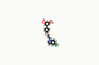 COc1cc(OC)cc(-c2ccc(OCCCn3ccc4cc(Br)ccc43)cc2)c1